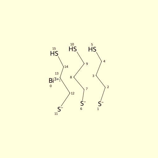 [Bi+3].[S-]CCCS.[S-]CCCS.[S-]CCCS